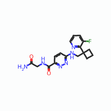 NC(=O)CNC(=O)c1ccc(NCC2(c3ncccc3F)CCC2)nn1